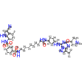 Cc1ccc(NS(=O)(=O)c2cccc(S(=O)(=O)NCCCCCCCCCC(=O)Nc3ccc(CNc4nc(OC5CCN(C)CC5)nc5c(C(C)C)cnn45)cc3)c2)c2[nH]cc(C#N)c12